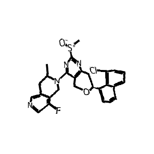 CC1Cc2cncc(F)c2CN1c1nc([S+](C)[O-])nc2c1CO[C@H](c1cccc3cccc(Cl)c13)C2